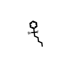 CCCCCC(F)(Br)c1ccccc1